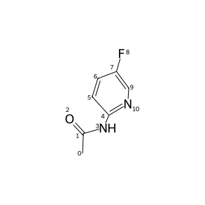 CC(=O)Nc1ccc(F)cn1